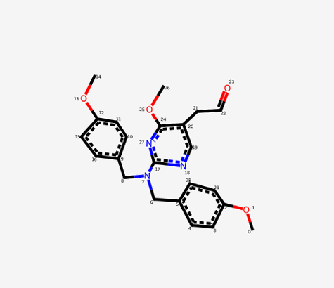 COc1ccc(CN(Cc2ccc(OC)cc2)c2ncc(CC=O)c(OC)n2)cc1